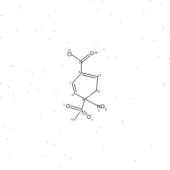 CS(=O)(=O)C1([N+](=O)[O-])C=CC(C(=O)Cl)=CC1